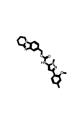 COc1cc(C)ccc1-c1cc(NC(=O)OCc2ccc3c(c2)nc2n3CCCC2)n(C)n1